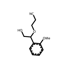 COc1ccccc1C(CO)OCCC#N